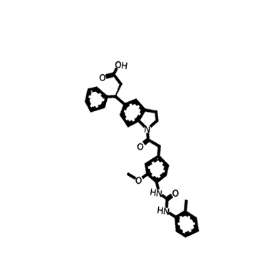 COc1cc(CC(=O)N2CCc3cc([C@H](CC(=O)O)c4ccccc4)ccc32)ccc1NC(=O)Nc1ccccc1C